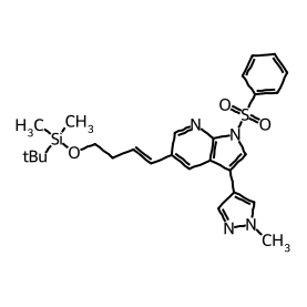 Cn1cc(-c2cn(S(=O)(=O)c3ccccc3)c3ncc(C=CCCO[Si](C)(C)C(C)(C)C)cc23)cn1